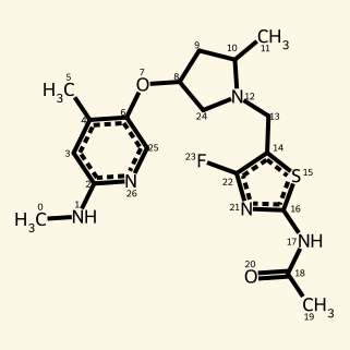 CNc1cc(C)c(OC2CC(C)N(Cc3sc(NC(C)=O)nc3F)C2)cn1